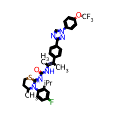 C/C(NC(=O)/N=C1\SCCC(C)N1c1ccc(F)cc1C(C)C)=C(/C)c1ccc(-c2ncn(-c3ccc(OC(F)(F)F)cc3)n2)cc1